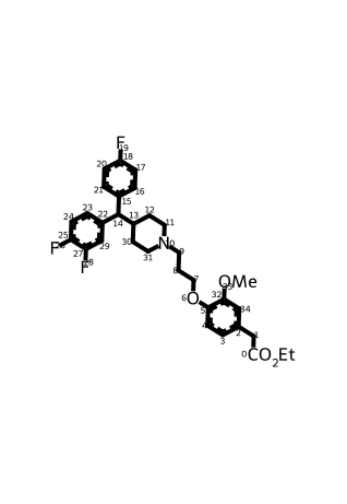 CCOC(=O)Cc1ccc(OCCCN2CCC(C(c3ccc(F)cc3)c3ccc(F)c(F)c3)CC2)c(OC)c1